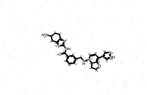 NC1CCc2nc(NC(=O)c3cccc(CNN4C=CC(c5cn[nH]c5)=C5OCCC54)c3)sc2C1